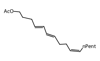 CCCCC/C=C\CCC=CC=CCCCOC(C)=O